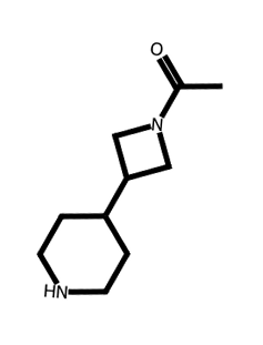 CC(=O)N1CC(C2CCNCC2)C1